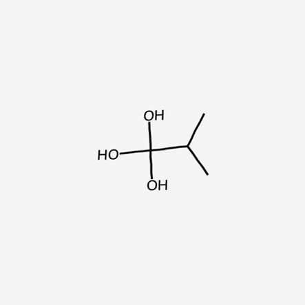 CC(C)C(O)(O)O